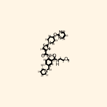 COCCNC(=O)c1cc(CN2CCC[C@@H]2C)ccc1NC(=O)c1csc(N2CCC(Oc3ncccn3)CC2)n1